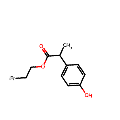 CC(C)CCOC(=O)C(C)c1ccc(O)cc1